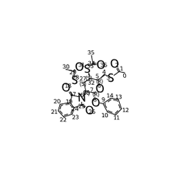 CC(=O)SC[C@H]1O[C@H](Oc2ccccc2)[C@@H](N2C(=O)c3ccccc3C2=O)[C@H](SC(C)=O)[C@H]1SC(C)=O